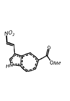 COC(=O)c1ccc2[nH]cc(C=C[N+](=O)[O-])c2c1